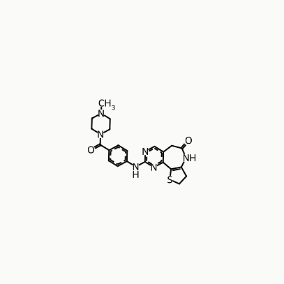 CN1CCN(C(=O)c2ccc(Nc3ncc4c(n3)C3=C(CCS3)NC(=O)C4)cc2)CC1